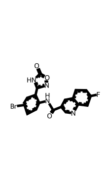 O=C(Nc1ccc(Br)cc1-c1noc(=O)[nH]1)c1cnc2cc(F)ccc2c1